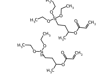 C=CC(=O)OC(C)CC[SiH](OCC)OCC.C=CC(=O)OC(C)CC[Si](OCC)(OCC)OCC